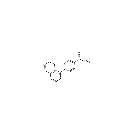 CNC(=O)c1ccc(-c2cccc3c2CCN=C3)cc1